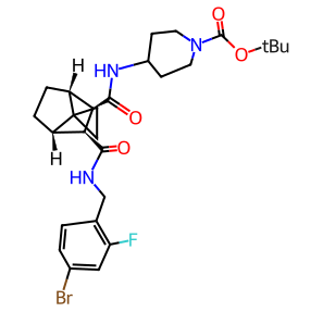 CC(C)(C)OC(=O)N1CCC(NC(=O)[C@H]2[C@@H](C(=O)NCc3ccc(Br)cc3F)[C@@H]3CC[C@H]2C32CC2)CC1